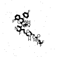 COC(=O)N[C@H](C(=O)Nc1cncc(F)c1CC[C@@H]1CN[C@H](COC(=O)NCC(F)(F)F)CO1)[C@@H](c1ccc(F)cc1)c1cccc(F)c1